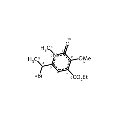 CCOC(=O)c1cc(C(C)Br)n(C)c(=O)c1OC